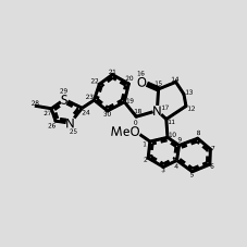 COc1ccc2ccccc2c1C1CCCC(=O)N1Cc1cccc(-c2ncc(C)s2)c1